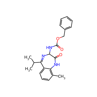 Cc1cccc2c1NC(=O)C(NC(=O)OCc1ccccc1)N=C2C(C)C